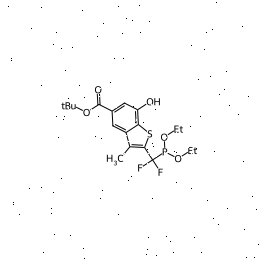 CCOP(OCC)C(F)(F)c1sc2c(O)cc(C(=O)OC(C)(C)C)cc2c1C